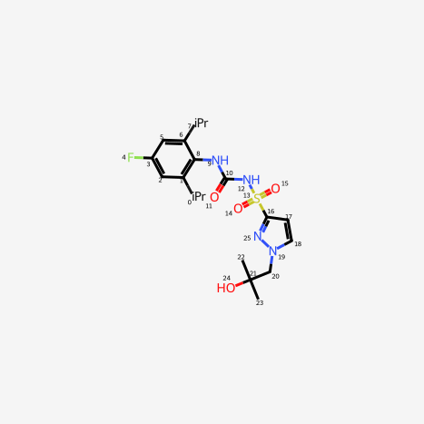 CC(C)c1cc(F)cc(C(C)C)c1NC(=O)NS(=O)(=O)c1ccn(CC(C)(C)O)n1